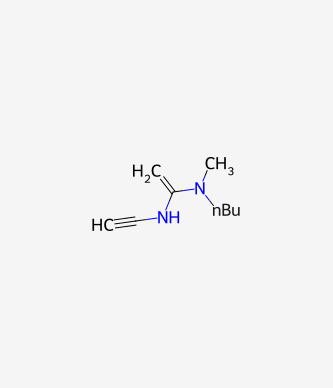 C#CNC(=C)N(C)CCCC